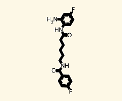 Nc1cc(F)ccc1NC(=O)CCCCCNC(=O)c1ccc(F)cc1